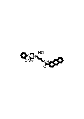 COc1ccccc1N1CCN(CCCCNC(=O)c2ccc3cc4ccccc4cc3c2)CC1.Cl